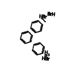 Br.Br.Br.CC.P.c1ccccc1.c1ccccc1.c1ccccc1